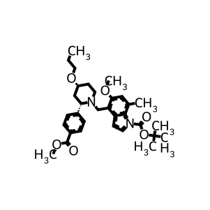 CCCO[C@H]1CCN(Cc2c(OC)cc(C)c3c2ccn3C(=O)OC(C)(C)C)[C@H](c2ccc(C(=O)OC)cc2)C1